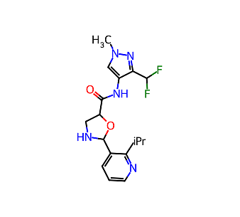 CC(C)c1ncccc1C1NCC(C(=O)Nc2cn(C)nc2C(F)F)O1